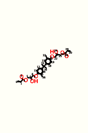 C=CC(=O)OCC(O)COc1ccc(C(C)(C)c2ccc(OCC(O)COC(=O)C=C)c(C)c2)cc1C